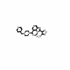 CCn1c(-c2nonc2N)nc2cncc(C(=O)N3CCN(Cc4ccncc4)CC3)c21